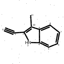 [C]#Cc1[nH]c2ccccc2c1C